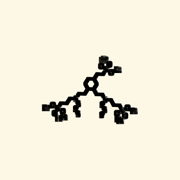 CCO[Si](CCCS(CCC1CCC(CC[Si](OCC)(OCC)OCC)CC1CCS(CCC[Si](OCC)(OCC)OCC)=S=S=S)=S=S=S)(OCC)OCC